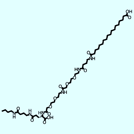 CCCCNC(=O)CCCNC(=O)CC[C@H](NC(=O)COCCOCCNC(=O)COCCOCCNC(=O)CCCNC(=O)CCCCCCCCCCCCCCCCC(=O)O)C(=O)O